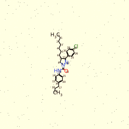 CCCCCCCC1CN(C(=O)Nc2ccc(CCC)cc2)N=C1c1ccc(Cl)cc1